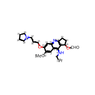 COc1cc2c(NCC(C)C)c3c(nc2cc1OCCCN1CCCC1)CCC3OC=O